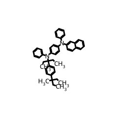 CCC(C)(CC)c1ccc(C(CC)(CC)N(c2ccccc2)c2ccc(N(c3ccccc3)c3ccc4ccccc4c3)cc2)cc1